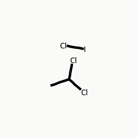 CC(Cl)Cl.ClI